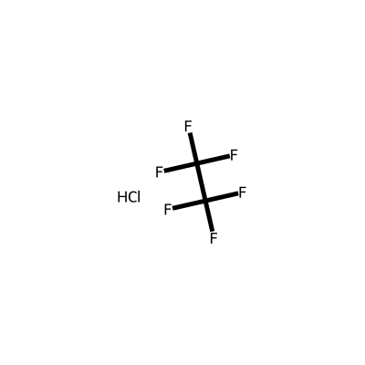 Cl.FC(F)(F)C(F)(F)F